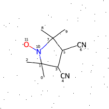 CC1(C)C(C#N)C(C#N)C(C)(C)N1[O]